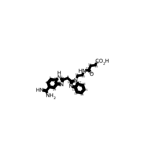 N=C(N)c1ccc2[nH]c(Cc3nc4ccccc4n3CCNC(=O)CCC(=O)O)nc2c1